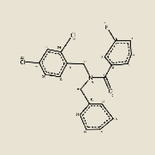 O=C(c1cccc(F)c1)N(Cc1ccccc1)Cc1ccc(Cl)cc1Cl